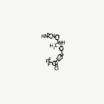 C=C(Nc1ccc(SN2CCN(c3cc(C(F)(F)F)cc(Cl)n3)CC2)cc1)c1cccc(N2CC3CNC3C2)c1